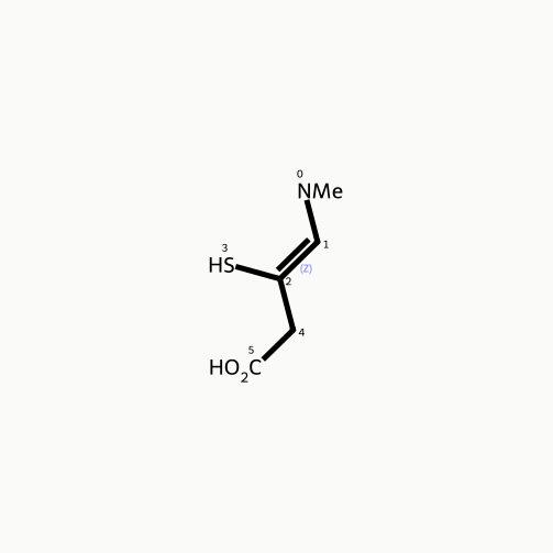 CN/C=C(\S)CC(=O)O